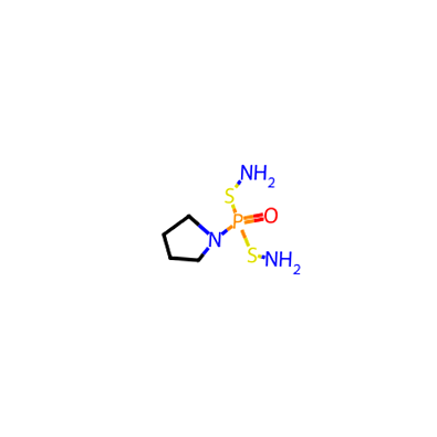 NSP(=O)(SN)N1CCCC1